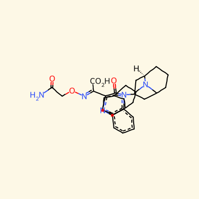 NC(=O)CON=C(C(=O)O)c1nc2ccccc2n(C2CC3CCC[C@H](C2)N3C2CC3CCCC(C3)C2)c1=O